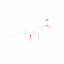 C=C(C)C(=O)OCC(OC(=O)NCCC)C(C)C